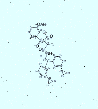 COc1ccnc2c(=O)n([C@@H](C)C(=O)N[C@@H](C)C(c3cccc(C4CC4)c3)c3cccc(C4CC4)c3)c(=O)oc12